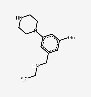 CC(C)(C)c1cc(CNCC(F)(F)F)cc(N2CCNCC2)c1